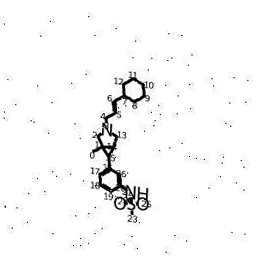 CC12CN(CC=CC3CCCCC3)CC1C2c1cccc(NS(C)(=O)=O)c1